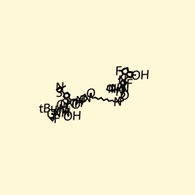 C#Cc1c(F)ccc2cc(O)cc(-c3ncc4c(N5CC6CCC(C5)N6)nc(OC5CCN(CCCCCCCCCC(=O)N6CCN(C(=O)CC(NC(=O)[C@@H]7C[C@@H](O)CN7C(=O)[C@@H](NC(=O)C7(F)CC7)C(C)(C)C)c7ccc(-c8scnc8C)cc7)CC6)C5)nc4c3F)c12